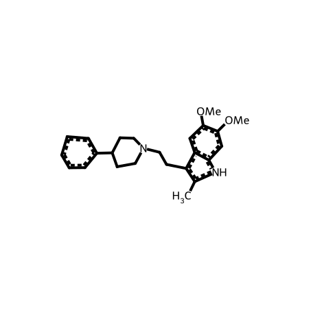 COc1cc2[nH]c(C)c(CCN3CCC(c4ccccc4)CC3)c2cc1OC